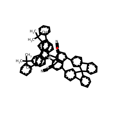 CC(C)(C)c1ccc2c(c1)c1cc(-c3ccccc3)ccc1n2-c1c(C#N)cc(-c2ccc3c(c2)C2(c4ccccc4-3)c3ccccc3-c3ccc(-c4cc(C#N)c(-n5c6ccc(-c7ccccc7)cc6c6cc(C(C)(C)C)ccc65)c(C#N)c4)cc32)cc1C#N